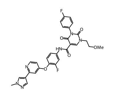 COCCn1cc(C(=O)Nc2ccc(Oc3ccnc(-c4cnn(C)c4)c3)c(F)c2)c(=O)n(-c2ccc(F)cc2)c1=O